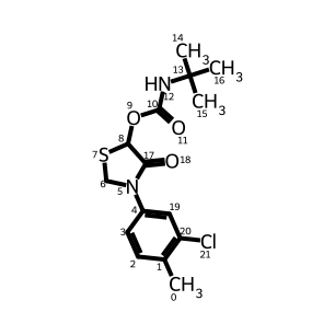 Cc1ccc(N2CSC(OC(=O)NC(C)(C)C)C2=O)cc1Cl